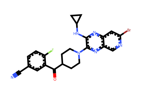 N#Cc1ccc(F)c(C(=O)C2CCN(c3nc4cnc(Br)cc4nc3NC3CC3)CC2)c1